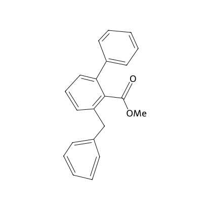 COC(=O)c1c(Cc2ccccc2)cccc1-c1ccccc1